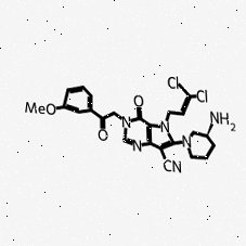 COc1cccc(C(=O)Cn2cnc3c(C#N)c(N4CCC[C@H](N)C4)n(CC=C(Cl)Cl)c3c2=O)c1